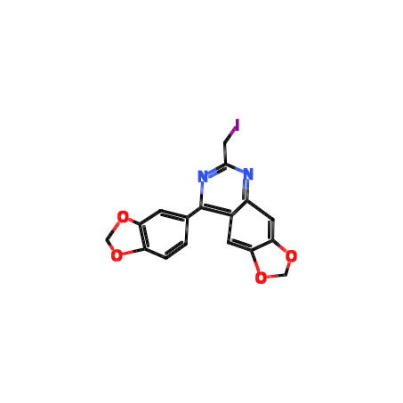 ICc1nc(-c2ccc3c(c2)OCO3)c2cc3c(cc2n1)OCO3